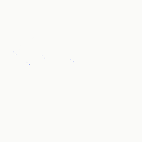 CCCCCCCCCNC1CCN(c2ncnc3sccc23)CC1